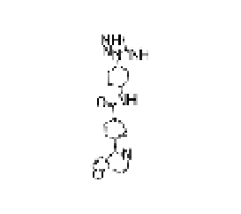 CC(=N)N(N=N)C1CCC(NC(=O)c2ccc(-c3nccc4occc34)cc2)CC1